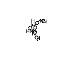 Cc1ccc(-c2ccnc(Nc3cc(NC(=O)c4ccc(CN5CCN(C)CC5)cc4)ccc3C)n2)cn1